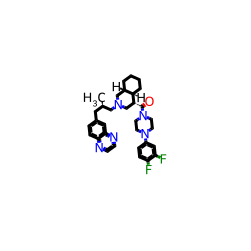 C[C@@H](Cc1ccc2nccnc2c1)CN1C[C@@H]2CCCC[C@H]2[C@H](C(=O)N2CCN(c3ccc(F)c(F)c3)CC2)C1